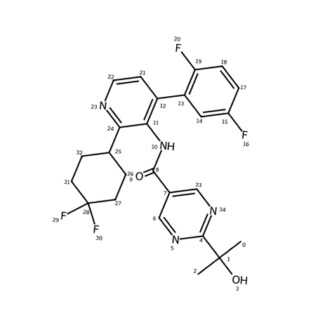 CC(C)(O)c1ncc(C(=O)Nc2c(-c3cc(F)ccc3F)ccnc2C2CCC(F)(F)CC2)cn1